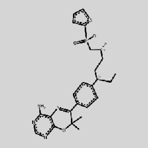 CC[C@H](CC[C@@H](C)CP(=O)(O)c1cccs1)c1ccc(C2=Nc3c(N)ncnc3OC2(C)C)cc1